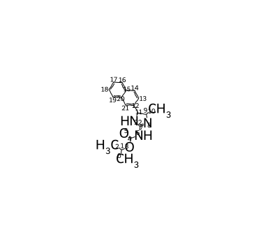 CC(C)OC(=O)NC1=NC(C)C(c2ccc3ccccc3c2)N1